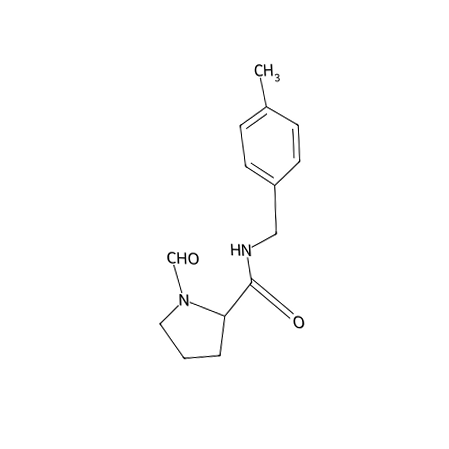 Cc1ccc(CNC(=O)C2CCCN2C=O)cc1